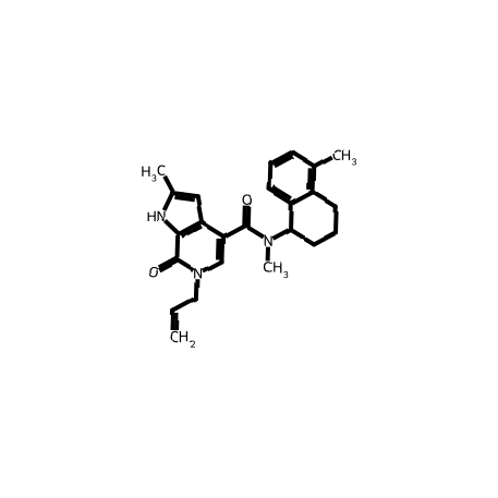 C=CCn1cc(C(=O)N(C)C2CCCc3c(C)cccc32)c2cc(C)[nH]c2c1=O